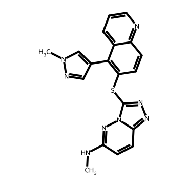 CNc1ccc2nnc(Sc3ccc4ncccc4c3-c3cnn(C)c3)n2n1